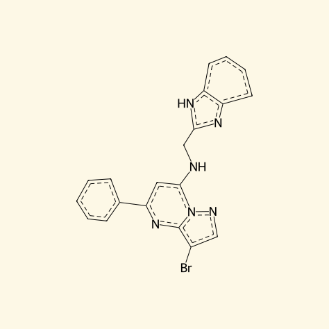 Brc1cnn2c(NCc3nc4ccccc4[nH]3)cc(-c3ccccc3)nc12